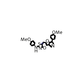 COc1ccc(NC2=NC(=O)/C(=C\c3cc4cncc(-c5ccc(OC)cc5)c4o3)S2)cc1